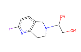 OCC(O)N1CCc2nc(I)ccc2C1